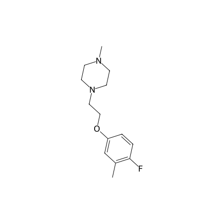 Cc1cc(OCCN2CCN(C)CC2)ccc1F